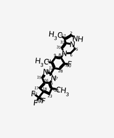 CC1=CNN2CCN(c3cc(C)c(-c4ncc5cc(C(F)(F)F)cc(C)c5n4)cc3F)C=C12